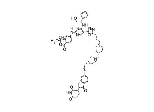 CC1(C)OC(=O)c2ccc(Nc3ncc(-c4nnc(CCCN5CCC(CN6CCN(CC#Cc7ccc8c(c7)CN(C7CCC(=O)NC7=O)C8=O)CC6)CC5)o4)c(N[C@H](CO)c4ccccc4)n3)cc21